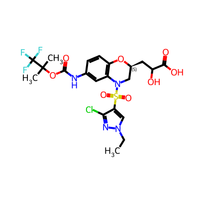 CCn1cc(S(=O)(=O)N2C[C@H](CC(O)C(=O)O)Oc3ccc(NC(=O)OC(C)(C)C(F)(F)F)cc32)c(Cl)n1